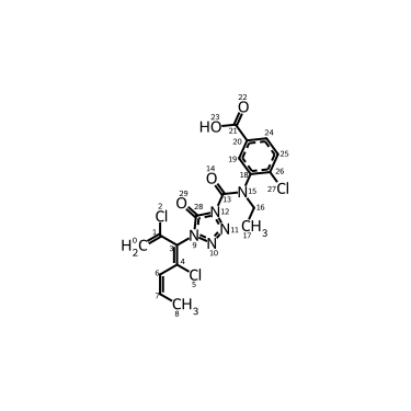 C=C(Cl)/C(=C(Cl)\C=C/C)n1nnn(C(=O)N(CC)c2cc(C(=O)O)ccc2Cl)c1=O